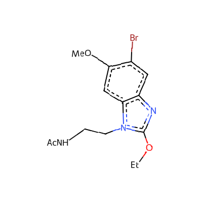 CCOc1nc2cc(Br)c(OC)cc2n1CCNC(C)=O